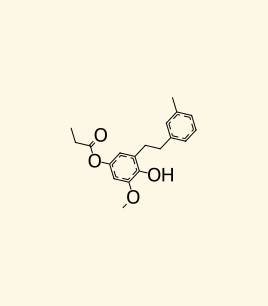 CCC(=O)Oc1cc(CCc2cccc(C)c2)c(O)c(OC)c1